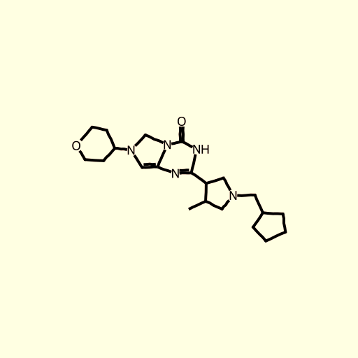 CC1CN(CC2CCCC2)CC1C1=NC2=CN(C3CCOCC3)CN2C(=O)N1